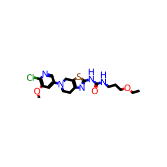 CCOCCCNC(=O)Nc1nc2c(s1)CN(c1cnc(Cl)c(OC)c1)CC2